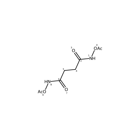 CC(=O)ONC(=O)CCC(=O)NOC(C)=O